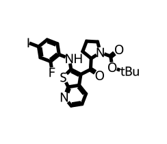 CC(C)(C)OC(=O)N1CCCC1C(=O)c1c(Nc2ccc(I)cc2F)sc2ncccc12